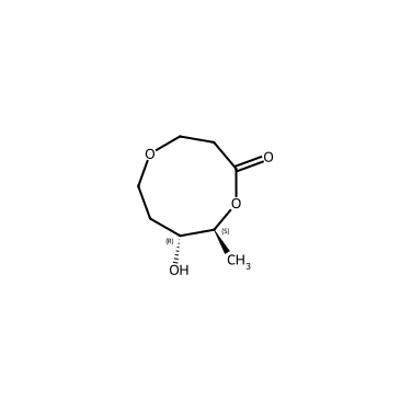 C[C@@H]1OC(=O)CCOCC[C@H]1O